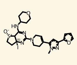 Cn1nc(-c2ccco2)cc1C1=CCN(C2=N[C@]3(I)CC[S+]([O-])C3C(NC3CCOCC3)=N2)CC1